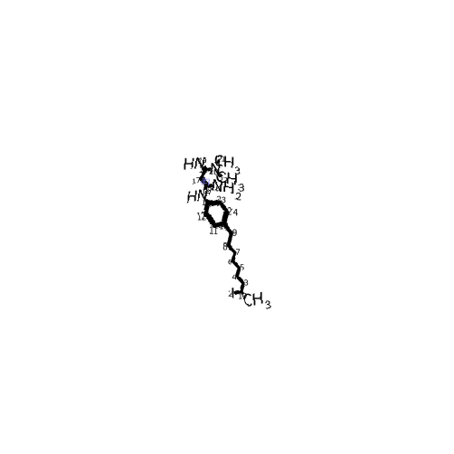 CC(I)CCCCCCCc1ccc(N/C(N)=C/C(=N)N(C)C)cc1